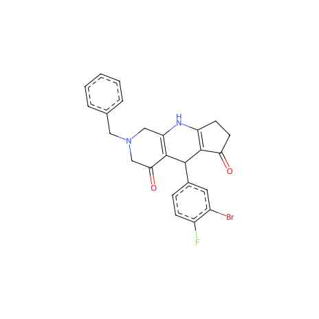 O=C1CCC2=C1C(c1ccc(F)c(Br)c1)C1=C(CN(Cc3ccccc3)CC1=O)N2